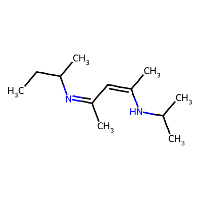 CCC(C)N=C(C)C=C(C)NC(C)C